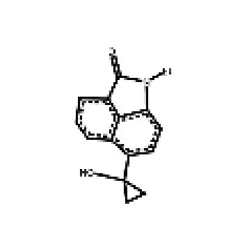 CCN1C(=O)c2cccc3c(C4(C#N)CC4)ccc1c23